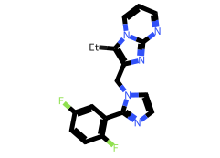 CCc1c(Cn2ccnc2-c2cc(F)ccc2F)nc2ncccn12